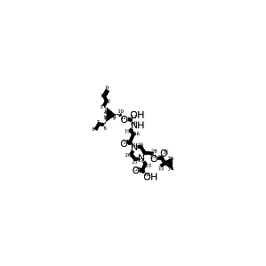 C=CCC[C@H]1[C@@H](CCC)[C@H]1COC(O)NCCC(=O)N1CCN(CC(=O)O)C(COC(=O)C2(C)CC2)C1